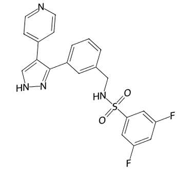 O=S(=O)(NCc1cccc(-c2n[nH]cc2-c2ccncc2)c1)c1cc(F)cc(F)c1